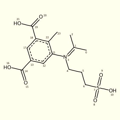 CC(C)=[N+](CCCS(=O)(=O)O)c1cc(C(=O)O)cc(C(=O)O)c1C